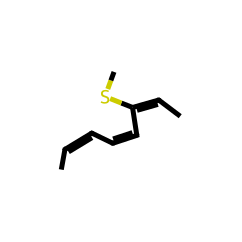 C\C=C/C=C\C(=C/C)SC